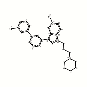 Clc1cccc(-c2cncc(-c3cn(CCCN4CCCCC4)c4ccc(Cl)cc34)c2)c1